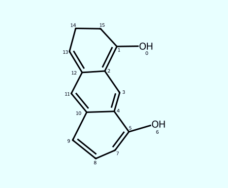 OC1=c2cc3c(O)cccc3cc2=CCC1